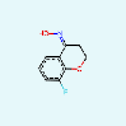 O/N=C1/CCOc2c(F)cccc21